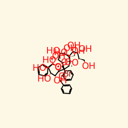 OC[C@@H]1OC(OCc2ccccc2)(C(Br)([CH]C2(OCc3ccccc3)O[C@H](CO)[C@@H](O)[C@H](O)[C@@H]2O)C2(OCc3ccccc3)O[C@@H](CO)[C@H](O)[C@@H](O)[C@H]2O)[C@H](O)[C@H](O)[C@H]1O